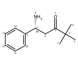 CC(C)(C)C(=O)C[C@@H](N)c1ccccc1